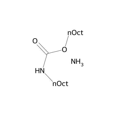 CCCCCCCCNC(=O)OCCCCCCCC.N